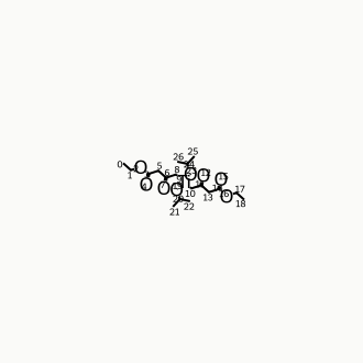 CCOC(=O)CC(=O)[CH2][Ti]([CH2]C(=O)CC(=O)OCC)([O]C(C)C)[O]C(C)C